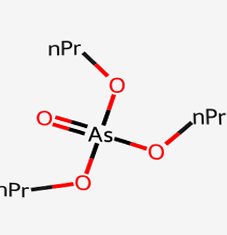 CCCO[As](=O)(OCCC)OCCC